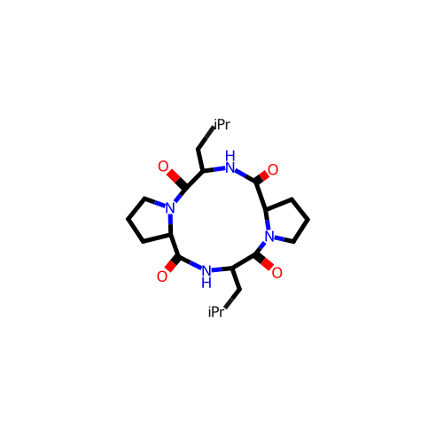 CC(C)CC1NC(=O)C2CCCN2C(=O)C(CC(C)C)NC(=O)C2CCCN2C1=O